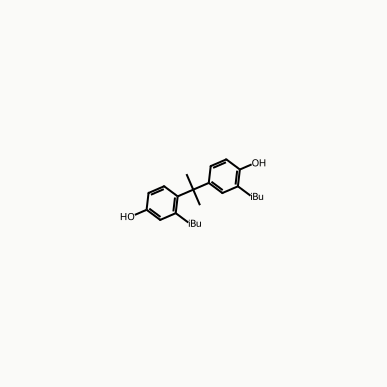 CCC(C)c1cc(C(C)(C)c2ccc(O)cc2C(C)CC)ccc1O